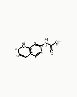 O=C(O)Nc1ccc2c(c1)OCC=C2